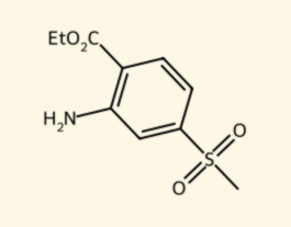 CCOC(=O)c1ccc(S(C)(=O)=O)cc1N